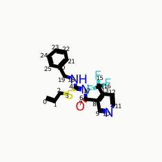 C=CCS/C(=N\C(=O)c1cnccc1C(F)(F)F)NCc1ccccc1